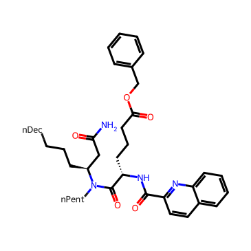 CCCCCCCCCCCCC[C@@H](CC(N)=O)N(CCCCC)C(=O)[C@H](CCCC(=O)OCc1ccccc1)NC(=O)c1ccc2ccccc2n1